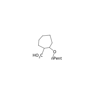 CCCCCOC1CCCCCC1C(=O)O